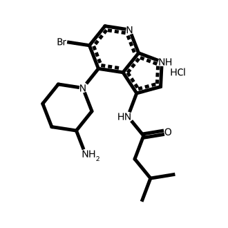 CC(C)CC(=O)Nc1c[nH]c2ncc(Br)c(N3CCCC(N)C3)c12.Cl